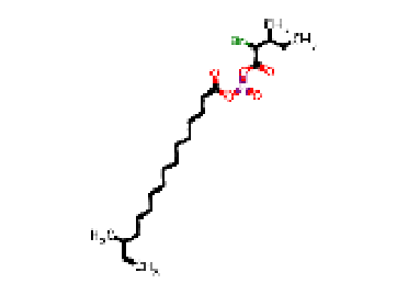 CCC(C)CCCCCCCCCCCCC(=O)O[PH](=O)OC(=O)C(Br)C(C)CC